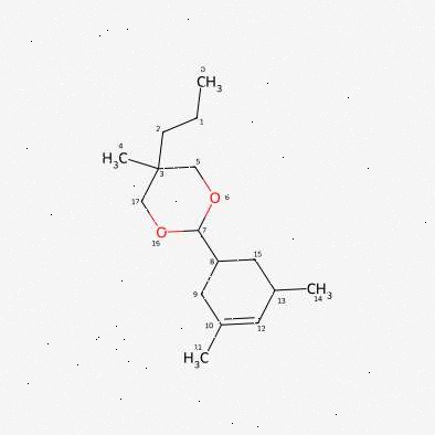 CCCC1(C)COC(C2CC(C)=CC(C)C2)OC1